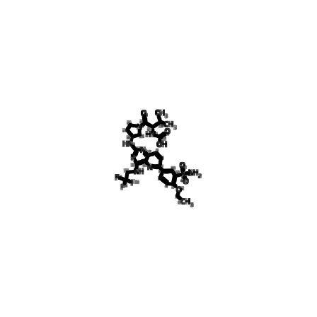 CCOc1ccc(-c2ccc3nc(N[C@H]4CCN(C(=O)[C@H](NC(=O)O)C(C)C)C4)nc(NCC(F)(F)F)c3n2)cc1S(N)(=O)=O